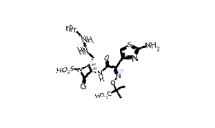 CCCNNC[C@@H]1[C@H](NC(=O)/C(=N\OC(C)(C)C(=O)O)c2csc(N)n2)C(=O)N1S(=O)(=O)O